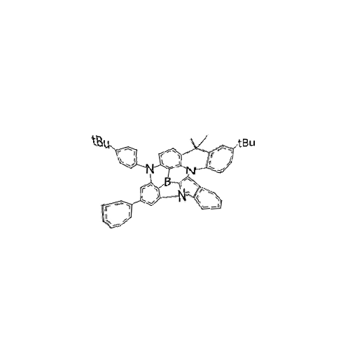 CC(C)(C)c1ccc(N2c3cc(-c4ccccc4)cc4c3B3c5c2ccc2c5N(c5ccc(C(C)(C)C)cc5C2(C)C)c2c3n-4c3ccccc23)cc1